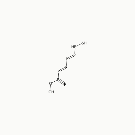 OOP(#P)P=PP=PPS